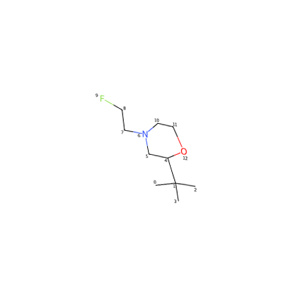 CC(C)(C)C1CN(CCF)CCO1